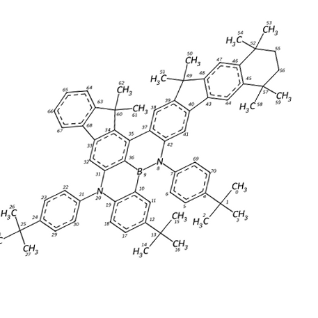 CC(C)(C)c1ccc(N2B3c4cc(C(C)(C)C)ccc4N(c4ccc(C(C)(C)C)cc4)c4cc5c(c(c43)-c3cc4c(cc32)-c2cc3c(cc2C4(C)C)C(C)(C)CCC3(C)C)C(C)(C)c2ccccc2-5)cc1